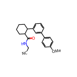 COc1ccc(-c2cccc(C3CCCCC3C(=O)NCC#N)c2)cc1